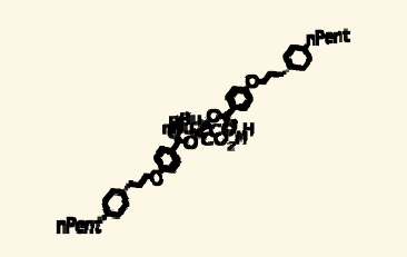 CCCCC[C@H]1CC[C@H](CCCOc2ccc(C(=O)O[C@@](CCCC)(C(=O)O)[C@@](CCCC)(OC(=O)c3ccc(OCCC[C@H]4CC[C@H](CCCCC)CC4)cc3)C(=O)O)cc2)CC1